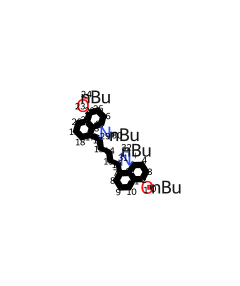 CCCCOc1ccc2c3c(cccc13)C(/C=C/C=c1/c3cccc4c(OCCCC)ccc(c43)n1CCCC)=[N+]2CCCC